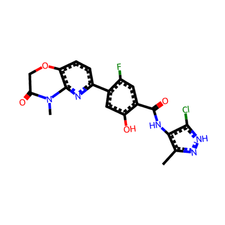 Cc1n[nH]c(Cl)c1NC(=O)c1cc(F)c(-c2ccc3c(n2)N(C)C(=O)CO3)cc1O